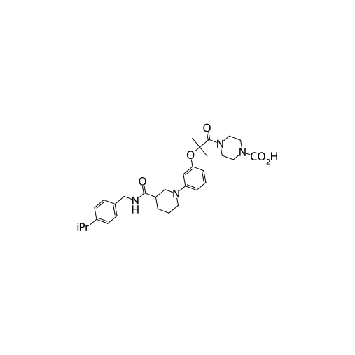 CC(C)c1ccc(CNC(=O)C2CCCN(c3cccc(OC(C)(C)C(=O)N4CCN(C(=O)O)CC4)c3)C2)cc1